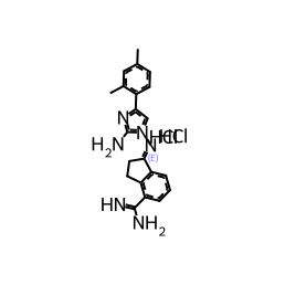 Cc1ccc(-c2cn(/N=C3\CCc4c(C(=N)N)cccc43)c(N)n2)c(C)c1.Cl.Cl